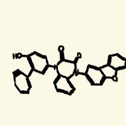 O=c1c(=O)n(-c2ccc3oc4ccccc4c3c2)c2ccccc2n1-c1ccc(O)c(C2=CC=CCC#C2)c1